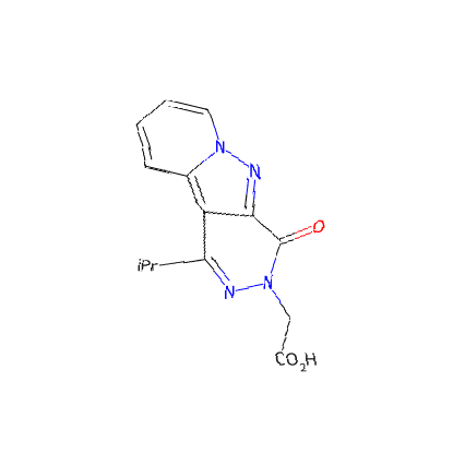 CC(C)c1nn(CC(=O)O)c(=O)c2nn3ccccc3c12